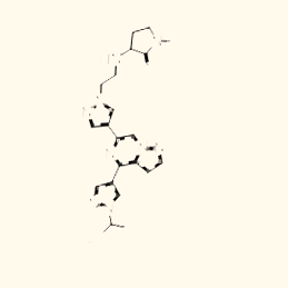 CCC(CC)n1cc(-c2nc(-c3cnn(CCNC4CCN(C)C4=O)c3)cn3nccc23)cn1